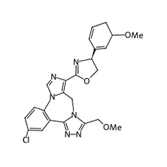 COCc1nnc2n1Cc1c(C3=N[C@@H](C4=CC(OC)CC=C4)CO3)ncn1-c1ccc(Cl)cc1-2